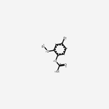 CCOc1cc(CC)ccc1OC(=O)CC